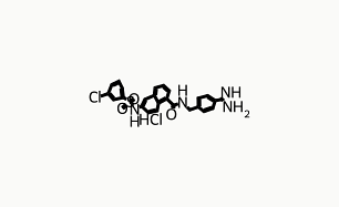 Cl.N=C(N)c1ccc(CNC(=O)c2cccc3cc(NS(=O)(=O)c4cccc(Cl)c4)ccc23)cc1